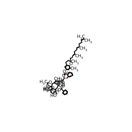 CC(=O)O[C@@H]1C(=O)[C@@]2(C)[C@H](O)C[C@@H]3OC[C@]3(OC(C)=O)[C@@H]2[C@@H](OC(=O)c2ccccc2)[C@@]2(O)C[C@@H](OC(=O)[C@H](Cc3ccccc3)OC(=O)Oc3cc(C)c4c(c3)CC[C@@](C)(CC/C=C(\C)CC/C=C(\C)CCC=C(C)C)O4)C(C)=C1C2(C)C